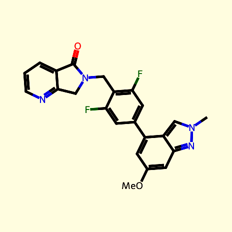 COc1cc(-c2cc(F)c(CN3Cc4ncccc4C3=O)c(F)c2)c2cn(C)nc2c1